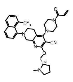 C=CC(=O)N1CCN(c2c(C#N)c(OC[C@@H]3CCCN3C)nc3c2CCN(c2cccc4cccc(C(F)(F)F)c24)C3)CC1